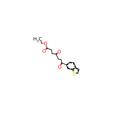 CCOC(=O)CCC(=O)CCC(=O)c1ccc2ccsc2c1